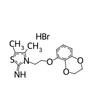 Br.Cc1sc(=N)n(CCOc2cccc3c2OCCO3)c1C